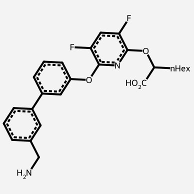 CCCCCCC(Oc1nc(Oc2cccc(-c3cccc(CN)c3)c2)c(F)cc1F)C(=O)O